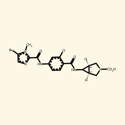 Cn1c(Br)cnc1C(=O)Nc1ccc(C(=O)NC2[C@H]3CN(C(=O)O)C[C@@H]23)c(Cl)c1